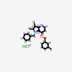 Cc1cccc(COc2ccnc3c(C)c(C)n(Cc4ccccc4)c23)c1.Cl